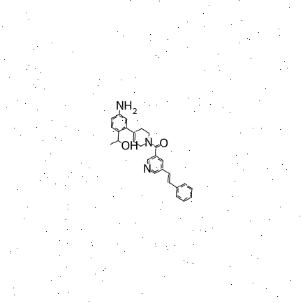 CC(O)c1ccc(N)cc1C1=CCN(C(=O)c2cncc(C=Cc3ccccc3)c2)CC1